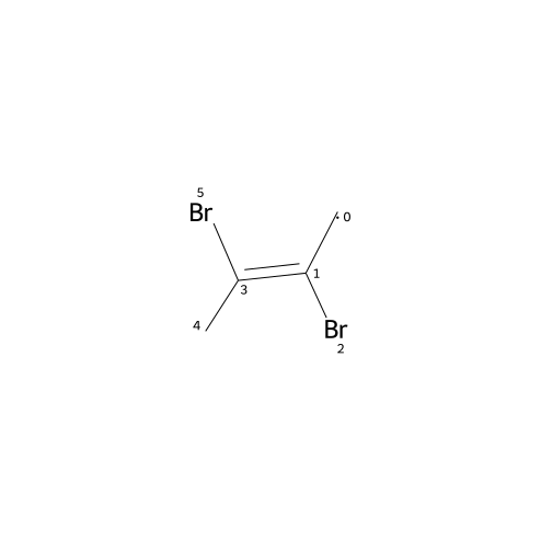 [CH2]C(Br)=C(C)Br